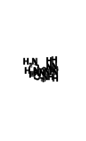 C[C@H](NC1NC(N[C@H]2CNCCN2)CC(C(N)CCN)N1)C1=CCC(F)CC1